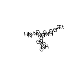 CCOCCOCCOCCNC(=O)COc1cc2c(cc1NCC(=O)N(C)Cc1cn[nH]c1)C(=O)N(C1CCC(=O)NC1=O)C2